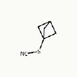 N#CSC12CC(C1)C2